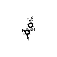 COC(=O)[C@H]1CC[C@@H](Nc2cc(F)cc(C#N)c2)CC1